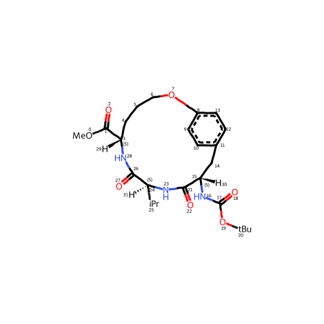 COC(=O)[C@@H]1CCCOc2ccc(cc2)C[C@H](NC(=O)OC(C)(C)C)C(=O)N[C@@H](C(C)C)C(=O)N1